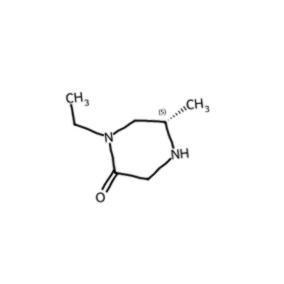 CCN1C[C@H](C)NCC1=O